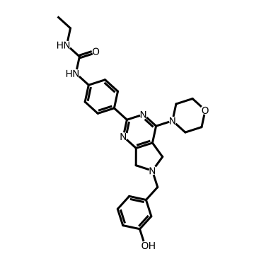 CCNC(=O)Nc1ccc(-c2nc3c(c(N4CCOCC4)n2)CN(Cc2cccc(O)c2)C3)cc1